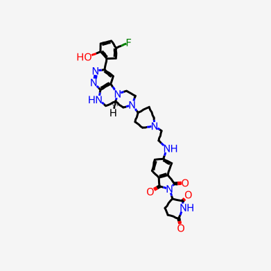 O=C1CCC(N2C(=O)c3ccc(NCCN4CCC(N5CCN6c7cc(-c8cc(F)ccc8O)nnc7NC[C@H]6C5)CC4)cc3C2=O)C(=O)N1